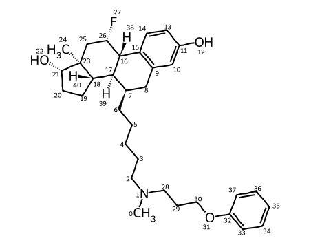 CN(CCCCC[C@@H]1Cc2cc(O)ccc2[C@@H]2[C@@H]1[C@@H]1CC[C@H](O)[C@@]1(C)C[C@@H]2F)CCCOc1ccccc1